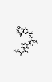 CC(COC(=O)c1cccc(C(=O)N2CC2C)c1)OC(=O)c1cccc(C(=O)N2CC2C)c1